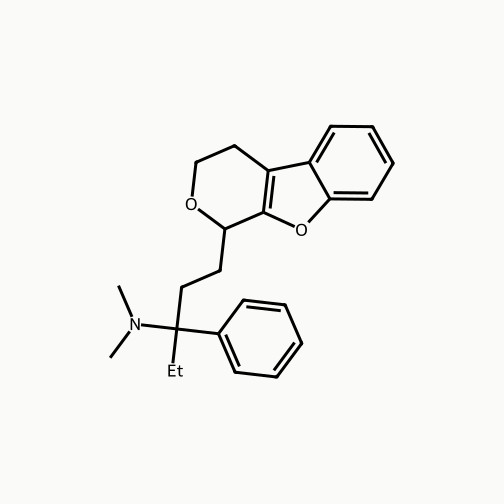 CCC(CCC1OCCc2c1oc1ccccc21)(c1ccccc1)N(C)C